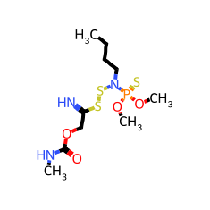 CCCCN(SSC(=N)COC(=O)NC)P(=S)(OC)OC